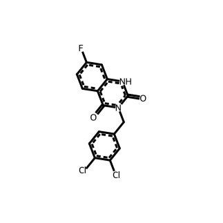 O=c1[nH]c2cc(F)ccc2c(=O)n1Cc1ccc(Cl)c(Cl)c1